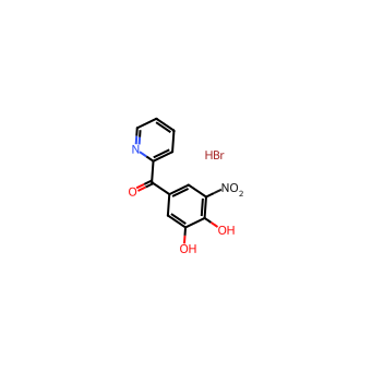 Br.O=C(c1cc(O)c(O)c([N+](=O)[O-])c1)c1ccccn1